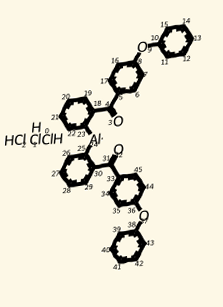 Cl.Cl.Cl.O=C(c1ccc(Oc2ccccc2)cc1)c1cccc[c]1[Al][c]1ccccc1C(=O)c1ccc(Oc2ccccc2)cc1